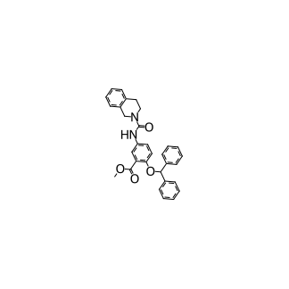 COC(=O)c1cc(NC(=O)N2CCc3ccccc3C2)ccc1OC(c1ccccc1)c1ccccc1